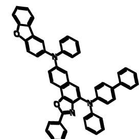 c1ccc(-c2ccc(N(c3ccccc3)c3cc4cc(N(c5ccccc5)c5ccc6oc7ccccc7c6c5)ccc4c4oc(-c5ccccc5)nc34)cc2)cc1